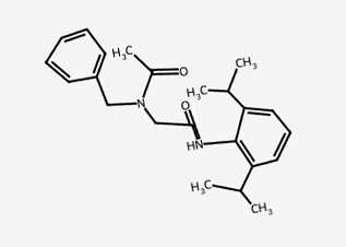 CC(=O)N(CC(=O)Nc1c(C(C)C)cccc1C(C)C)Cc1ccccc1